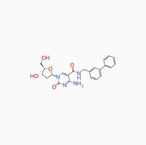 Nc1nc(=O)n([C@H]2C[C@H](O)[C@@H](CO)O2)cc1C(=O)NCc1cccc(-c2ccccc2)c1